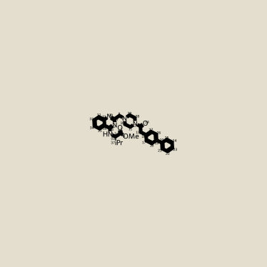 COC(=O)[C@@H](Nc1nc(CN2CCN(C(=O)Cc3ccc(-c4ccccc4)cc3)CC2)nc2ccccc12)C(C)C